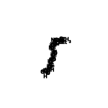 CCN(C)S(=O)(=O)Nc1ccc(F)c(Oc2ccc3ncc(C4COC5(CCN(C(=O)CN6CCC(c7ccc(NC8CCC(=O)NC8=O)cc7F)CC6)CC5)C4)cc3c2)c1C#N